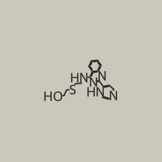 OCCSCCNc1nc(C2=CC=NC=CN2)nc2ccccc12